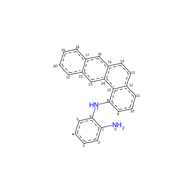 Nc1ccccc1Nc1cccc2ccc3cc4ccccc4cc3c12